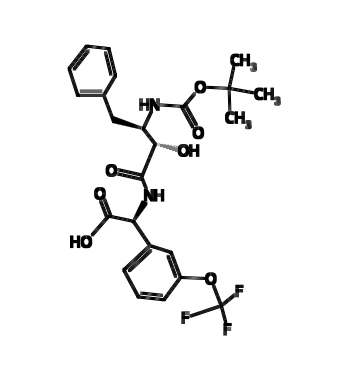 CC(C)(C)OC(=O)N[C@H](Cc1ccccc1)[C@H](O)C(=O)N[C@H](C(=O)O)c1cccc(OC(F)(F)F)c1